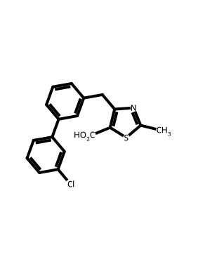 Cc1nc(Cc2cccc(-c3cccc(Cl)c3)c2)c(C(=O)O)s1